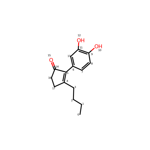 CCCCC1=C(c2ccc(O)c(O)c2)C(=O)CC1